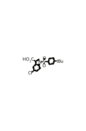 CC(C)(C)c1ccc(S(=O)(=O)n2cc(C(=O)O)c3cc(Cl)ccc32)cc1